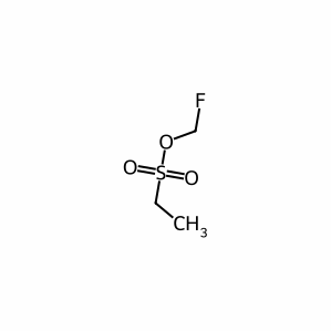 CCS(=O)(=O)OCF